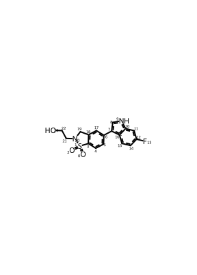 O=S1(=O)c2ccc(-c3c[nH]c4cc(F)ccc34)cc2CN1CCO